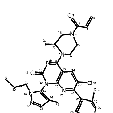 C=CC(=O)N1CCN(c2nc(=O)n(-c3c(C)cnn3CCC)c3nc(-c4ccccc4F)c(Cl)cc23)[C@@H](C)C1